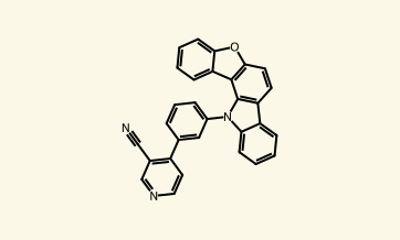 N#Cc1cnccc1-c1cccc(-n2c3ccccc3c3ccc4oc5ccccc5c4c32)c1